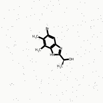 Cc1c(Br)cc2nc([C@H](C)O)[nH]c2c1C